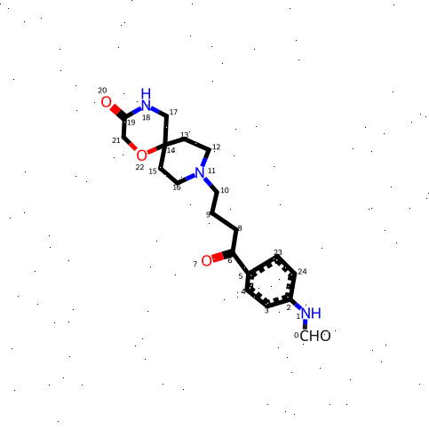 O=CNc1ccc(C(=O)CCCN2CCC3(CC2)CNC(=O)CO3)cc1